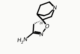 NC1=NO[C@]2(C1)CN1CCC2CC1